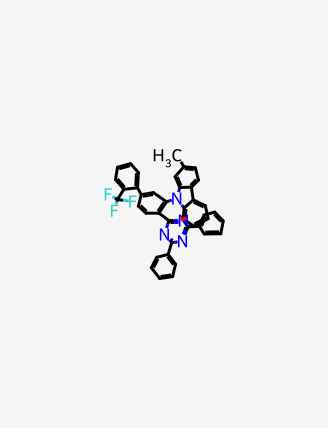 Cc1ccc2c3ccccc3n(-c3cc(-c4ccccc4C(F)(F)F)ccc3-c3nc(-c4ccccc4)nc(-c4ccccc4)n3)c2c1